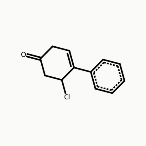 O=C1CC=C(c2ccccc2)C(Cl)C1